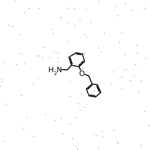 NCc1cc[c]cc1OCc1ccccc1